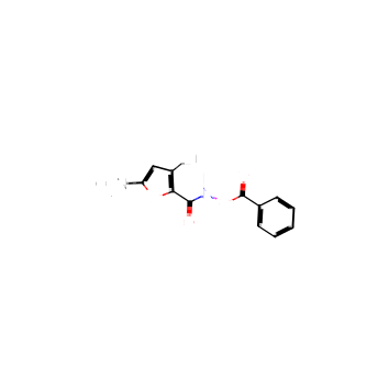 CCc1cc([N+](=O)[O-])oc1C(=O)NOC(=O)c1ccccc1